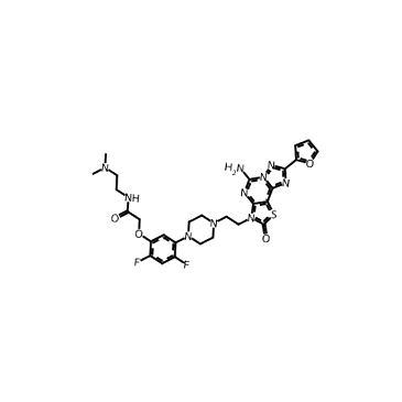 CN(C)CCNC(=O)COc1cc(N2CCN(CCn3c(=O)sc4c3nc(N)n3nc(-c5ccco5)nc43)CC2)c(F)cc1F